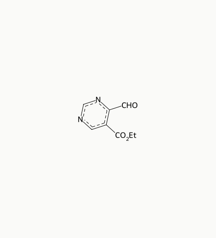 CCOC(=O)c1cncnc1C=O